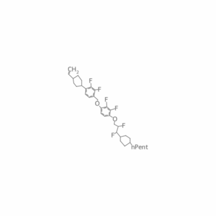 C=CC1CCC(c2ccc(COc3ccc(OCC(F)C(F)C4CCC(CCCCC)CC4)c(F)c3F)c(F)c2F)CC1